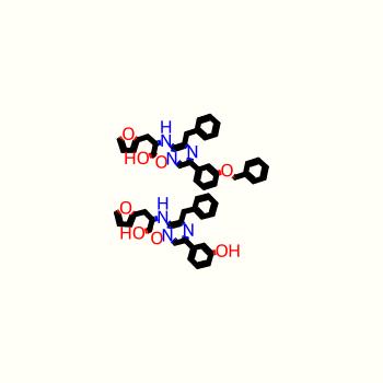 O=C(O)C(Cc1ccco1)Nc1ncc(-c2cccc(O)c2)nc1Cc1ccccc1.O=C(O)C(Cc1ccco1)Nc1ncc(-c2cccc(OCc3ccccc3)c2)nc1Cc1ccccc1